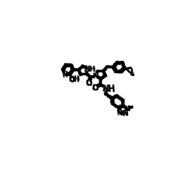 COc1ccc(CC2CC(C(=O)NCC3=Cc4nnn(C)c4CC3)N(C(=O)C3CC(c4cccnc4O)CN3)C2)cc1